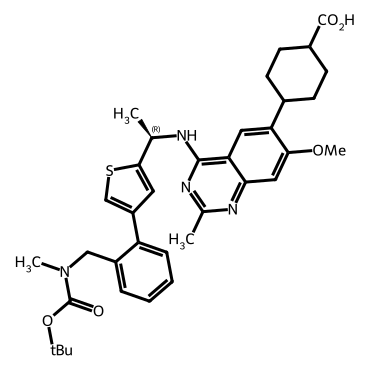 COc1cc2nc(C)nc(N[C@H](C)c3cc(-c4ccccc4CN(C)C(=O)OC(C)(C)C)cs3)c2cc1C1CCC(C(=O)O)CC1